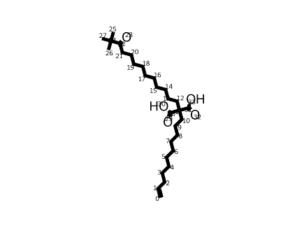 C=CCCCCCCCCCC(CCCCCCCCCCC(=O)C(C)(C)C)(C(=O)O)C(=O)O